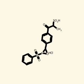 CC(C(=O)c1ccc(C2ON2S(=O)(=O)c2ccccc2)cc1)S(=O)(=O)O.Cl